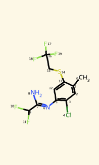 Cc1cc(Cl)c(/N=C(\N)C(F)F)cc1SCC(F)(F)F